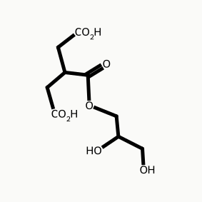 O=C(O)CC(CC(=O)O)C(=O)OCC(O)CO